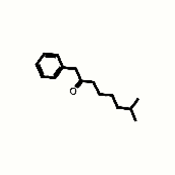 CC(C)CCCCC(=O)Cc1ccccc1